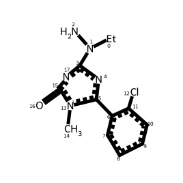 CCN(N)c1nc(-c2ccccc2Cl)n(C)c(=O)n1